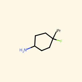 CC(C)C1(F)CCC(N)CC1